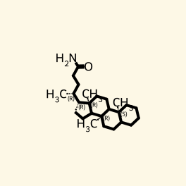 C[C@H](CCC(N)=O)[C@H]1CCC2[C@]3(C)CCC4CCCC[C@]4(C)C3CC[C@@]21C